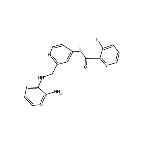 Nc1ncccc1NCc1cc(NC(=O)c2ncccc2F)ccn1